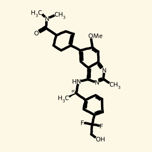 COc1cc2nc(C)nc(N[C@H](C)c3cccc(C(F)(F)CO)c3)c2cc1C1=CCC(C(=O)N(C)C)CC1